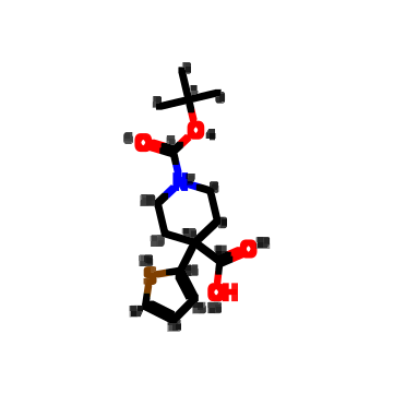 CC(C)(C)OC(=O)N1CCC(C(=O)O)(c2cccs2)CC1